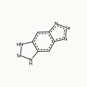 c1c2c(cc3n[se]nc13)N[Se]N2